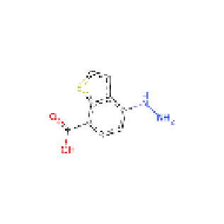 NNc1ccc(C(=O)O)c2sccc12